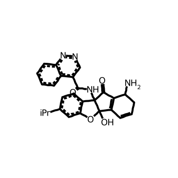 CC(C)c1ccc2c(c1)OC1(O)C3=C(C(=O)C21NC(=O)c1cnnc2ccccc12)C(N)CC=C3